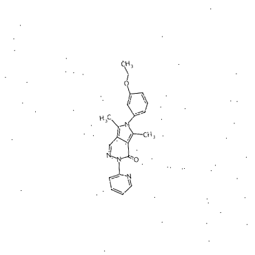 CCOc1cccc(-n2c(C)c3cnn(-c4ccccn4)c(=O)c3c2C)c1